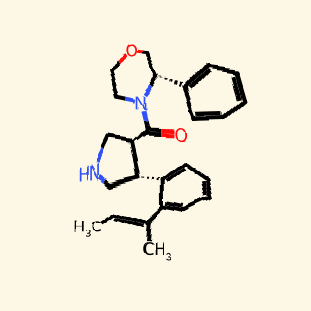 CC=C(C)c1ccccc1[C@@H]1CNC[C@H]1C(=O)N1CCOC[C@@H]1c1ccccc1